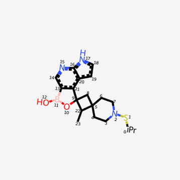 CC(C)SN1CCC2(CC1)CC1(OB(O)c3cnc4[nH]ccc4c31)C2C